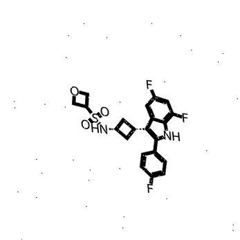 O=S(=O)(N[C@H]1C[C@@H](c2c(-c3ccc(F)cc3)[nH]c3c(F)cc(F)cc32)C1)C1COC1